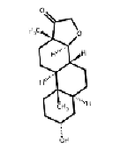 C[C@]12CC[C@@H](O)C[C@@H]1CC[C@@H]1[C@@H]2CC[C@]2(C)C(=O)CO[C@@H]12